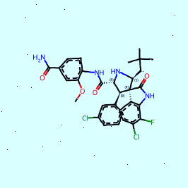 COc1cc(C(N)=O)ccc1NC(=O)[C@@H]1N[C@@H](CC(C)(C)C)[C@@]2(C(=O)Nc3c2ccc(Cl)c3F)[C@H]1c1cccc(Cl)c1